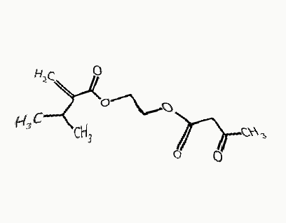 C=C(C(=O)OCCOC(=O)CC(C)=O)C(C)C